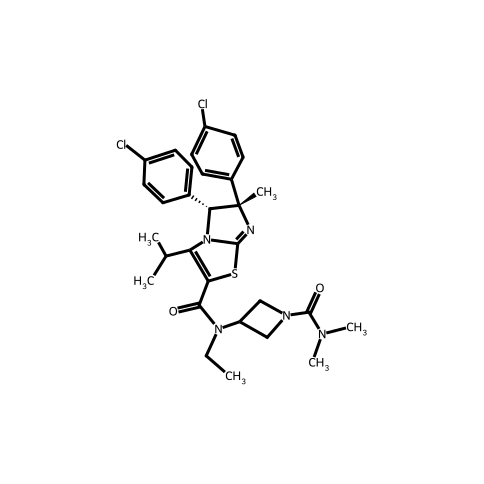 CCN(C(=O)C1=C(C(C)C)N2C(=N[C@@](C)(c3ccc(Cl)cc3)[C@H]2c2ccc(Cl)cc2)S1)C1CN(C(=O)N(C)C)C1